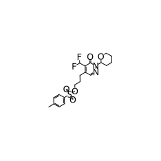 Cc1ccc(S(=O)(=O)OCCCc2cnn(C3CCCCO3)c(=O)c2C(F)F)cc1